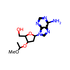 COC(C)OC1CC(n2cnc3c(N)ncnc32)OC1CO